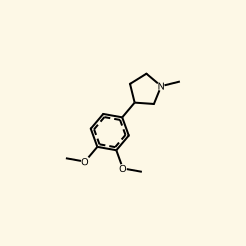 COc1ccc(C2CCN(C)C2)cc1OC